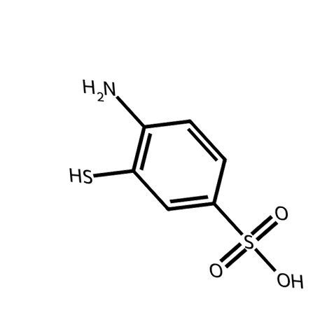 Nc1ccc(S(=O)(=O)O)cc1S